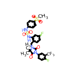 CC1(C)C(=O)N(c2ccc(F)c(C(F)(F)F)c2)C(=O)N1Cc1ccc(F)cc1NS(=O)(=O)Nc1ccc(S(C)(=O)=O)cc1